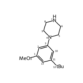 COc1cc(N2CCNCC2)cc(C(C)(C)C)c1